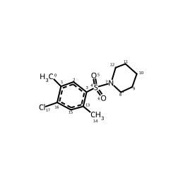 Cc1cc(S(=O)(=O)N2[CH]CCCC2)c(C)cc1Cl